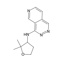 CC1(C)OCCC1Nc1nncc2ccncc12